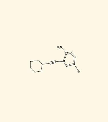 Nc1ccc(Br)cc1C#CC1CCCCC1